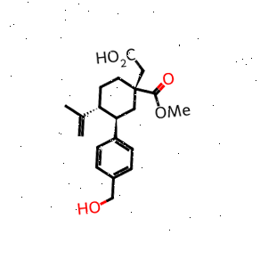 C=C(C)[C@@H]1CC[C@](CC(=O)O)(C(=O)OC)C[C@H]1c1ccc(CO)cc1